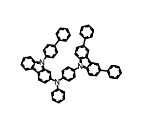 c1ccc(-c2ccc(-n3c4ccccc4c4ccc(N(c5ccccc5)c5ccc(-n6c7ccc(-c8ccccc8)cc7c7cc(-c8ccccc8)ccc76)cc5)cc43)cc2)cc1